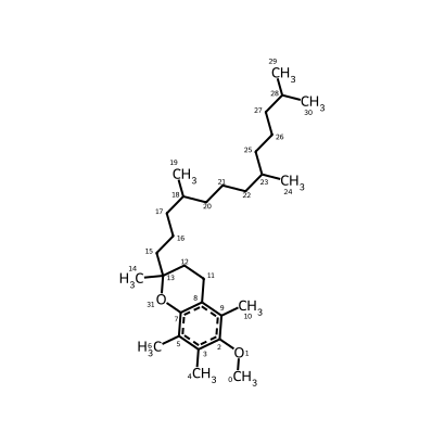 COc1c(C)c(C)c2c(c1C)CCC(C)(CCCC(C)CCCC(C)CCCC(C)C)O2